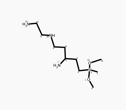 CO[Si](C)(CCC(N)CCNCCN)OC